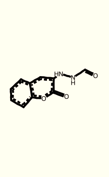 O=CNNc1cc2ccccc2oc1=O